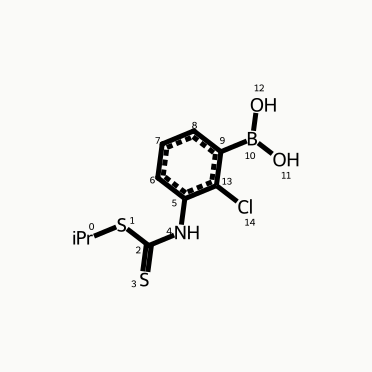 CC(C)SC(=S)Nc1cccc(B(O)O)c1Cl